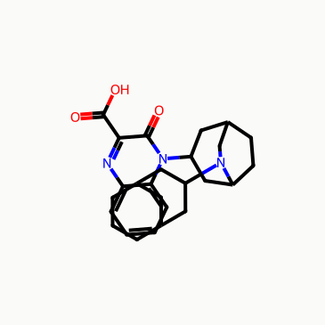 O=C(O)c1nc2ccccc2n(C2CC3CCC(C2)N(C2CC4CCCC(C4)C2)C3)c1=O